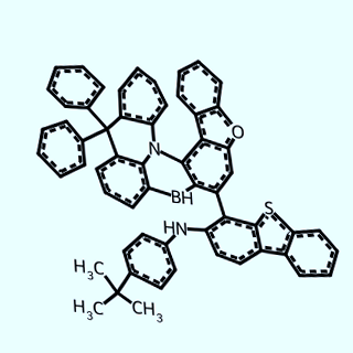 CC(C)(C)c1ccc(Nc2ccc3c(sc4ccccc43)c2-c2cc3oc4ccccc4c3c3c2Bc2cccc4c2N3c2ccccc2C4(c2ccccc2)c2ccccc2)cc1